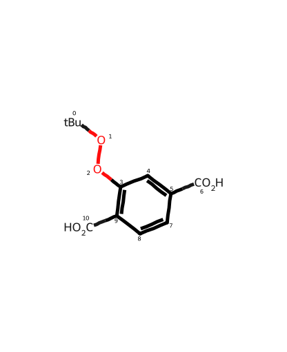 CC(C)(C)OOc1cc(C(=O)O)ccc1C(=O)O